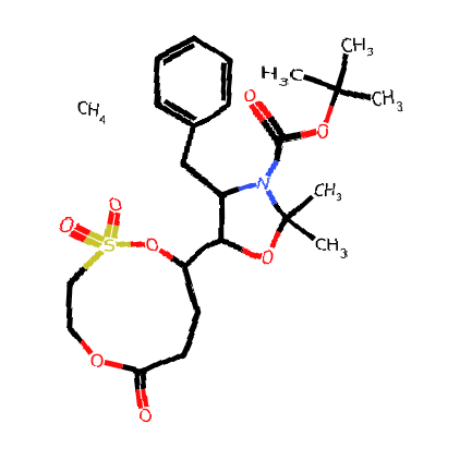 C.CC(C)(C)OC(=O)N1C(Cc2ccccc2)C(C2CCC(=O)OCCS(=O)(=O)O2)OC1(C)C